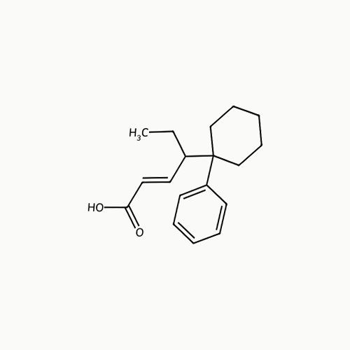 CCC(/C=C/C(=O)O)C1(c2ccccc2)CCCCC1